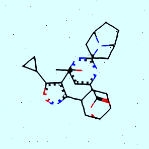 COC(=O)c1cc(C)nc(N2C3CC[C@H]2C[C@H](OCc2c(C4CCCCC4)noc2C2CC2)C3)n1